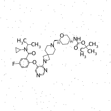 CC(C)N(C(=O)c1cc(F)ccc1Oc1cncnc1N1CC2(CCN(C[C@@H]3CC[C@@H](NC(=O)OC(C)(C)C)CO3)CC2)C1)C1CC1